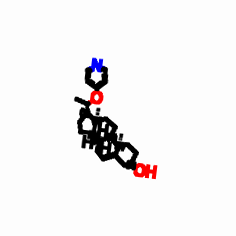 CC(Oc1ccncc1)[C@H]1CC[C@H]2[C@@H]3CC=C4C[C@@H](O)CC[C@]4(C)[C@H]3CC[C@]12C